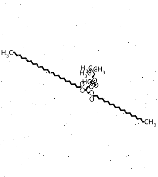 CCCCCCCCCCCCCCCCCCCCCCCCCC(=O)O[C@H](COC(=O)CCCCCCCCCCCCCCCCCCC)COP(=O)(O)OCC[N+](C)(C)C